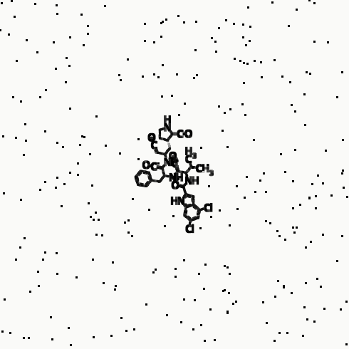 CC(C)C(NC(=O)c1cc2c(Cl)cc(Cl)cc2[nH]1)C(=C=O)NC(Cc1ccccc1)C(=C=O)NC(C=C=O)C[C@@H]1CCNC1=C=O